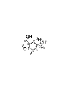 [2H]C([2H])([2H])c1cc(C)c(OC)c(CO)c1